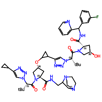 CC(C)(C)[C@@H](C(=O)N1C[C@H](OC2CC2c2cn([C@H](C(=O)N3C[C@H](O)C[C@H]3C(=O)NC(c3cccc(F)c3)c3ccccn3)C(C)(C)C)nn2)C[C@H]1C(=O)NCC1CN2CCCN1CC2)n1cc(C2CC2)nn1